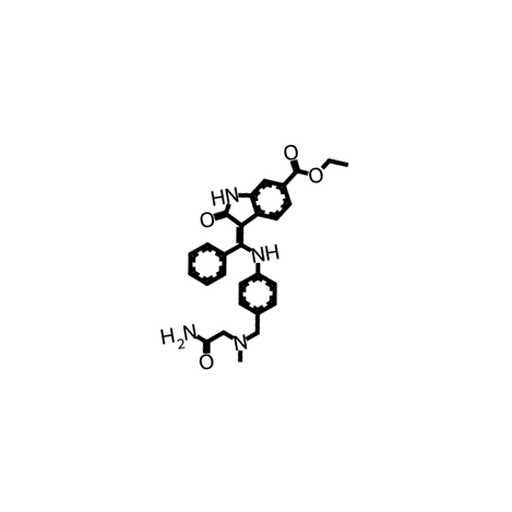 CCOC(=O)c1ccc2c(c1)NC(=O)/C2=C(/Nc1ccc(CN(C)CC(N)=O)cc1)c1ccccc1